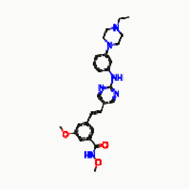 CCN1CCN(c2cccc(Nc3ncc(C=Cc4cc(OC)cc(C(=O)NOC)c4)cn3)c2)CC1